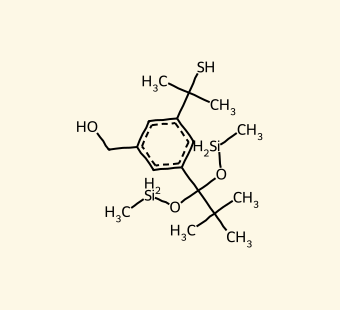 C[SiH2]OC(O[SiH2]C)(c1cc(CO)cc(C(C)(C)S)c1)C(C)(C)C